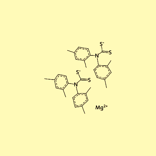 Cc1ccc(N(C(=S)[S-])c2ccc(C)cc2C)c(C)c1.Cc1ccc(N(C(=S)[S-])c2ccc(C)cc2C)c(C)c1.[Mg+2]